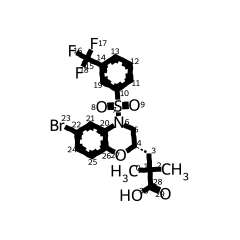 CC(C)(C[C@H]1CN(S(=O)(=O)c2cccc(C(F)(F)F)c2)c2cc(Br)ccc2O1)C(=O)O